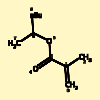 C=C(C)C(=O)OC(C)CCCC